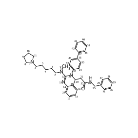 CN(CCCCCN1CCCC1)C1=Nc2ccccc2C(CC(=O)NCc2ccccc2)N1c1ccc(-c2ccccc2)cc1